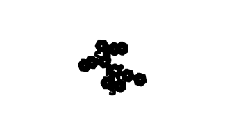 CC1CC(c2cc(-n3c4ccccc4c4cc5ccccc5cc43)c3sc4cc5ccccc5cc4c3c2)=NC(c2cccc3sc4ccccc4c23)=NC1c1ccc(-c2ccccc2)cc1